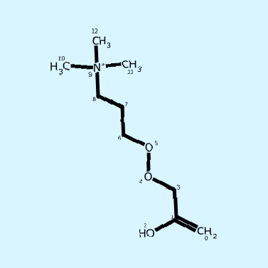 C=C(O)COOCCC[N+](C)(C)C